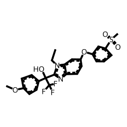 CCn1c(C(O)(c2ccc(OC)cc2)C(F)(F)F)nc2ccc(Oc3cccc(S(C)(=O)=O)c3)cc21